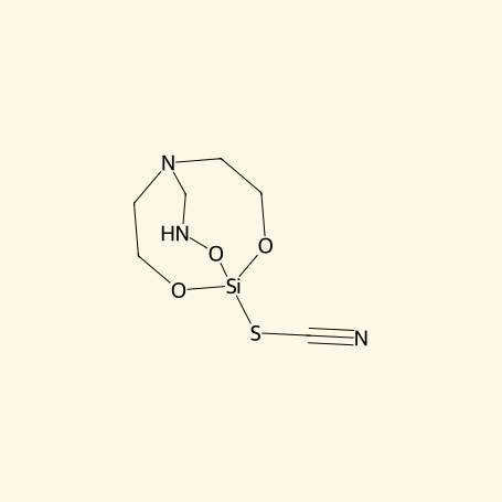 N#CS[Si]12OCCN(CCO1)CNO2